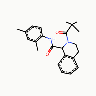 Cc1ccc(NC(=O)C2c3ccccc3CCN2C(=O)C(C)(C)C)c(C)c1